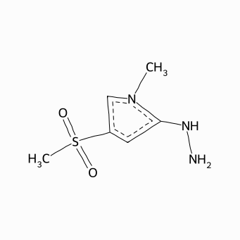 Cn1cc(S(C)(=O)=O)cc1NN